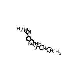 CN1CCC(N2CCC(C(=O)Nc3cc4cc(-c5cn(C)nn5)ccc4nn3)CC2)CC1